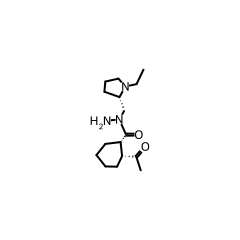 CCN1CCC[C@H]1CN(N)C(=O)[C@H]1CCCC[C@H]1C(C)=O